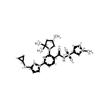 C[C@@H]1CN(c2nc(-n3ccc(OC4CC4)n3)ccc2C(=O)NS(=O)(=O)c2cnn(C)c2)C(C)(C)C1